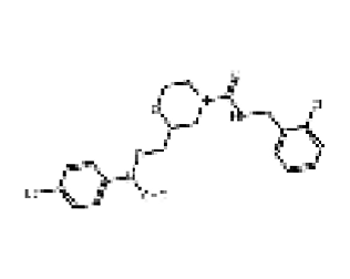 CCc1ccc(N(C=O)OCC2CN(C(=O)NCc3ccccc3Cl)CCO2)cc1